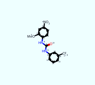 COc1cc([N+](=O)[O-])ccc1NC(=O)Nc1cccc(C(F)(F)F)c1